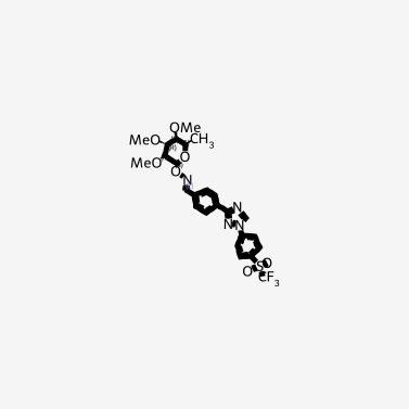 CO[C@@H]1[C@@H](OC)[C@H](C)O[C@@H](O/N=C/c2ccc(-c3ncn(-c4ccc(S(=O)(=O)C(F)(F)F)cc4)n3)cc2)[C@@H]1OC